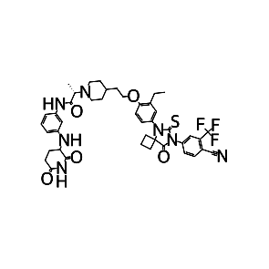 CCc1cc(N2C(=S)N(c3ccc(C#N)c(C(F)(F)F)c3)C(=O)C23CCC3)ccc1OCCC1CCN([C@@H](C)C(=O)Nc2cccc(NC3CCC(=O)NC3=O)c2)CC1